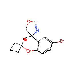 Brc1ccc2c(c1)C1(CO[C]=N1)C1(CCO1)C1(CCC1)O2